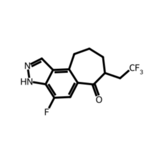 O=C1c2cc(F)c3[nH]ncc3c2CCCC1CC(F)(F)F